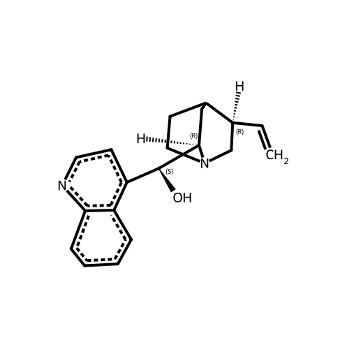 C=C[C@H]1CN2CCC1C[C@@H]2[C@@H](O)c1ccnc2ccccc12